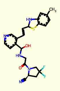 Cc1ccc2c(c1)NC(/C=C/c1cnccc1C(O)NCC(=O)N1CC(F)(F)C[C@H]1C#N)S2